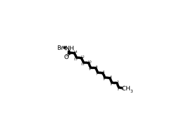 CCCCCCCCCCCCCCCC(=O)NBr